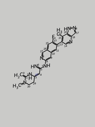 C=C1N/C(=C\C(=N)Nc2cc3cc(-c4cnc5cn[nH]c5c4C)c(F)cc3cn2)CCN1C